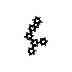 c1ccc(-c2nc(-c3ccccc3)nc(-c3cc(-c4ccc5c(c4)oc4ccccc45)ccn3)n2)cc1